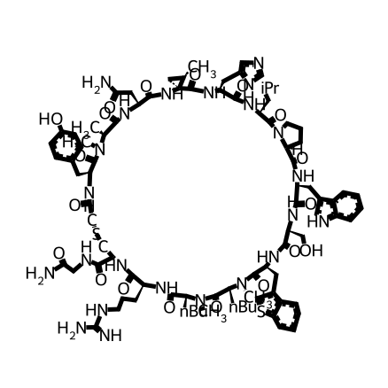 CCCC[C@H]1C(=O)N(C)[C@@H](CCCC)C(=O)N[C@@H](CCCNC(=N)N)C(=O)NC(C(=O)NCC(N)=O)CSCC(=O)N[C@@H](Cc2ccc(O)cc2)C(=O)N(C)[C@@H](C)C(=O)N[C@@H](CC(N)=O)C(=O)N[C@]2(C[C@@H]2C)C(=O)N[C@@H](Cc2cnc[nH]2)C(=O)N[C@@H](CC(C)C)C(=O)N2CCC[C@H]2C(=O)N[C@@H](Cc2c[nH]c3ccccc23)C(=O)N[C@@H](CO)C(=O)N[C@@H](Cc2csc3ccccc23)C(=O)N1C